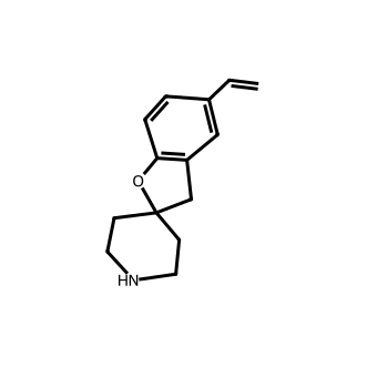 C=Cc1ccc2c(c1)CC1(CCNCC1)O2